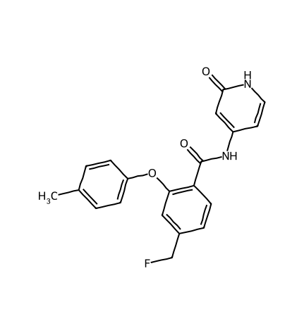 Cc1ccc(Oc2cc(CF)ccc2C(=O)Nc2cc[nH]c(=O)c2)cc1